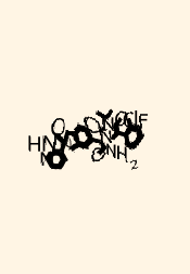 CC(C)n1c(=O)c(-c2cccc(F)c2Cl)cn(C(C(N)=O)c2ccc3c(c2)C[C@@]2(C3)C(=O)Nc3ncccc32)c1=O